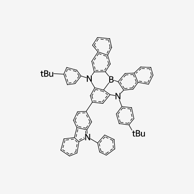 CC(C)(C)c1ccc(N2c3cc4ccccc4cc3B3c4cc5ccccc5cc4N(c4ccc(C(C)(C)C)cc4)c4cc(-c5ccc6c7ccccc7n(-c7ccccc7)c6c5)cc2c43)cc1